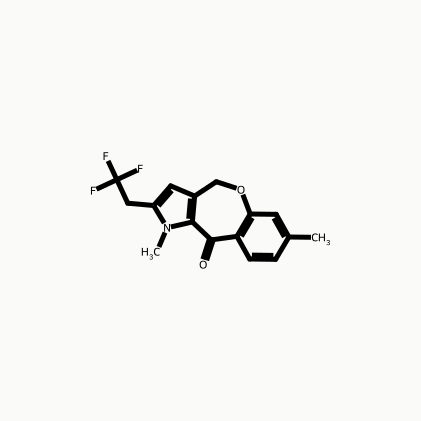 Cc1ccc2c(c1)OCc1cc(CC(F)(F)F)n(C)c1C2=O